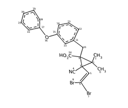 CC1(C)C(C#N)(C=C(Br)Br)C1(Cc1cccc(Oc2ccccc2)c1)C(=O)O